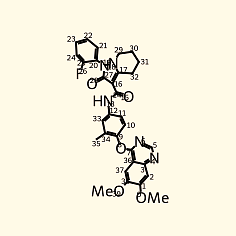 COc1cc2ncnc(Oc3ccc(NC(=O)c4c5n(n(-c6ccccc6F)c4=O)CCCC5)cc3C)c2cc1OC